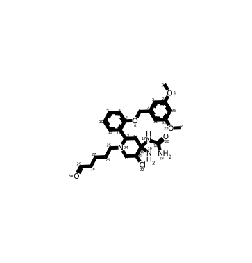 COc1cc(COc2ccccc2C2CC(N)(NC(N)=O)C(Cl)CN2CCCCC=O)cc(OC)c1